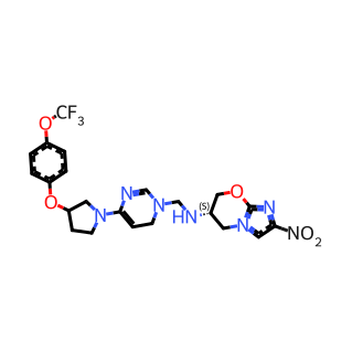 O=[N+]([O-])c1cn2c(n1)OC[C@@H](NCN1C=NC(N3CCC(Oc4ccc(OC(F)(F)F)cc4)C3)=CC1)C2